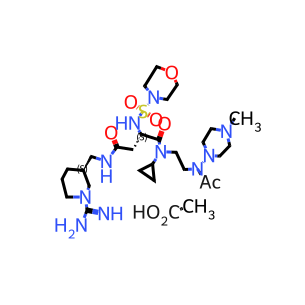 CC(=O)N(CCN(C(=O)[C@H](CC(=O)NC[C@@H]1CCCN(C(=N)N)C1)NS(=O)(=O)N1CCOCC1)C1CC1)N1CCN(C)CC1.CC(=O)O